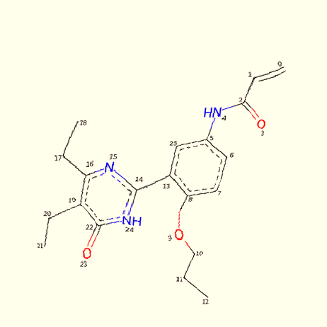 C=CC(=O)Nc1ccc(OCCC)c(-c2nc(CC)c(CC)c(=O)[nH]2)c1